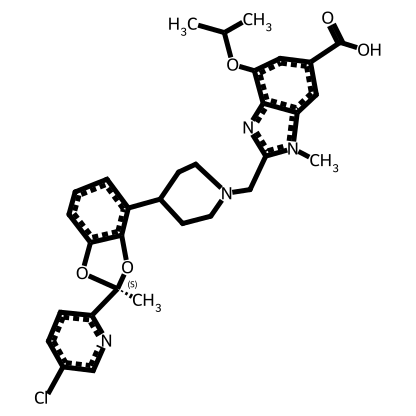 CC(C)Oc1cc(C(=O)O)cc2c1nc(CN1CCC(c3cccc4c3O[C@@](C)(c3ccc(Cl)cn3)O4)CC1)n2C